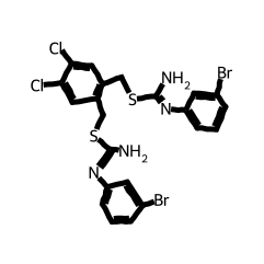 N/C(=N\c1cccc(Br)c1)SCc1cc(Cl)c(Cl)cc1CS/C(N)=N/c1cccc(Br)c1